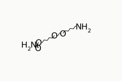 NCCCCCOCCOCCCCCOC(N)=O